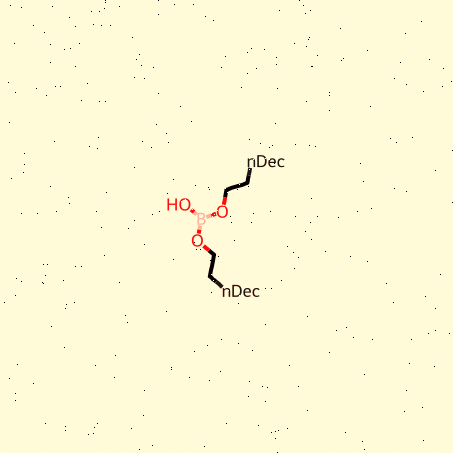 CCCCCCCCCCCCOB(O)OCCCCCCCCCCCC